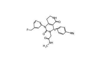 CNC(=O)CN1C(=O)N(c2cccc(CF)c2)C2=C(C(=O)NCC2)[C@H]1c1ccc(C#N)cc1